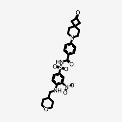 O=C1CC2(CCN(c3ccc(C(=O)NS(=O)(=O)c4ccc(NCC5CCOCC5)c([N+](=O)[O-])c4)cc3)CC2)C1